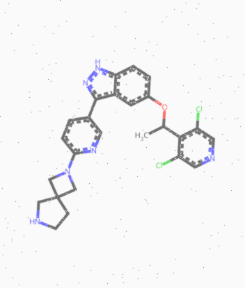 CC(Oc1ccc2[nH]nc(-c3ccc(N4CC5(CCNC5)C4)nc3)c2c1)c1c(Cl)cncc1Cl